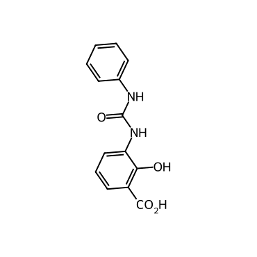 O=C(Nc1ccccc1)Nc1cccc(C(=O)O)c1O